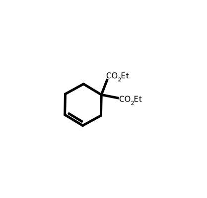 CCOC(=O)C1(C(=O)OCC)CC=CCC1